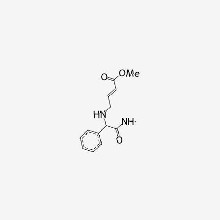 COC(=O)C=CCNC(C([NH])=O)c1ccccc1